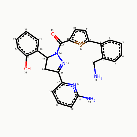 NCc1ccccc1-c1ccc(C(=O)N2N=C(c3cccc(N)n3)CC2c2ccccc2O)s1